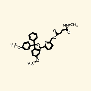 CNC(=O)CCC(=O)OCc1cccc(COC(c2ccccc2)(c2ccc(OC)cc2)c2ccc(OC)cc2)n1